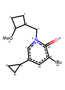 COC1CCC1Cn1cc(C2CC2)cc(C(C)(C)C)c1=O